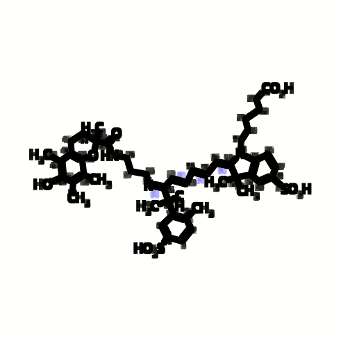 Cc1ccc(S(=O)(=O)O)cc1C(C)(C)C(/C=C/C=C/C=C1/N(CCCCCC(=O)O)c2ccc(S(=O)(=O)O)cc2C1(C)C)=N/CCCNC(=O)C1(C)CCc2c(C)c(O)c(C)c(C)c2O1